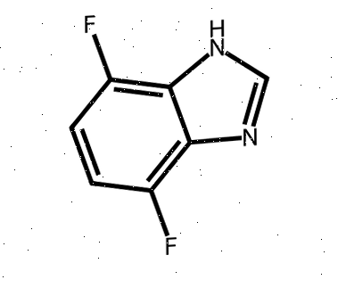 Fc1ccc(F)c2[nH]cnc12